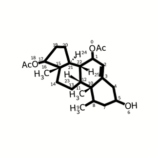 CC(=O)OC1C=C2CC(O)CC(C)[C@]2(C)[C@@H]2CC[C@]3(C)C(OC(C)=O)CC[C@H]3[C@H]12